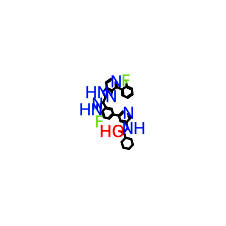 OC(Nc1cncc(-c2cc(F)c3[nH]nc(-c4nc5c(-c6ccccc6F)nccc5[nH]4)c3c2)c1)C1CCCCC1